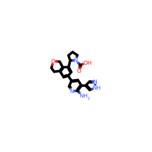 Nc1ncc(-c2cc3c(c(C4CCCN4C(=O)O)c2)COCC3)cc1-c1cn[nH]c1